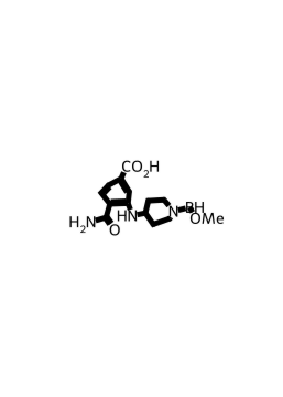 COBN1CCC(Nc2cc(C(=O)O)ccc2C(N)=O)CC1